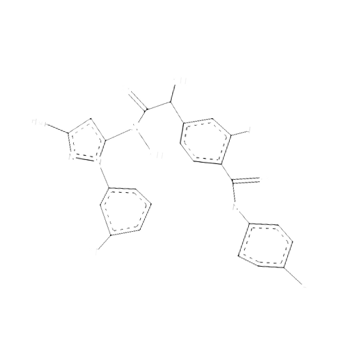 CC(C(=O)N(C)c1cc(C(C)(C)C)nn1-c1cccc(Cl)c1)c1ccc(C(=O)Nc2ccc(F)cc2)c(F)c1